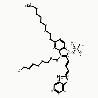 CCCCCCCCCCCCCCCCCCc1ccc2oc(C=CC=C3Nc4ccccc4O3)[n+](CCCCCCCCCCCCCCCCCC)c2c1.[O-][Cl+3]([O-])([O-])[O-]